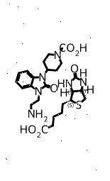 NCCn1c(=O)n(C2CCN(C(=O)O)CC2)c2ccccc21.O=C(O)CCCC[C@@H]1SC[C@@H]2NC(=O)N[C@@H]21